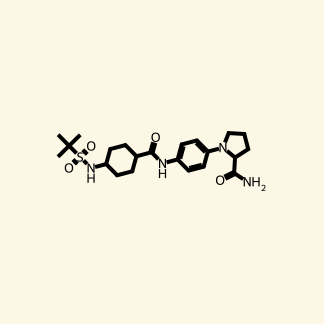 CC(C)(C)S(=O)(=O)NC1CCC(C(=O)Nc2ccc(N3CCCC3C(N)=O)cc2)CC1